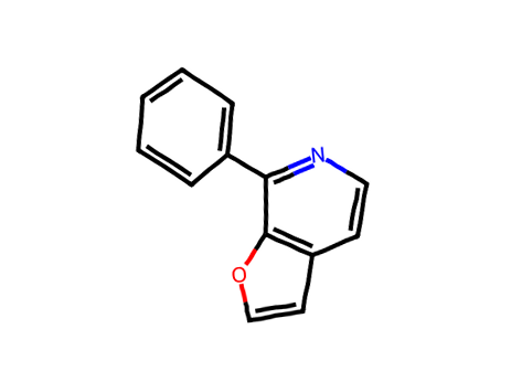 c1ccc(-c2nccc3ccoc23)cc1